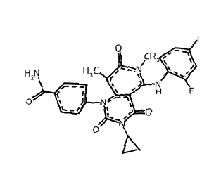 Cc1c(=O)n(C)c(Nc2ccc(I)cc2F)c2c(=O)n(C3CC3)c(=O)n(-c3ccc(C(N)=O)cc3)c12